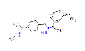 C=C(NCC)C1C=CC(SN(N)C(=C)C(/C=C\C)=C/C=C\C)=CC1